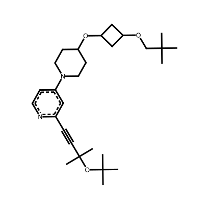 CC(C)(C)COC1CC(OC2CCN(c3ccnc(C#CC(C)(C)OC(C)(C)C)c3)CC2)C1